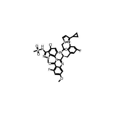 COc1cc(F)c2c(=O)n(-c3ccc(Cl)c4c(NS(C)(=O)=O)nn(C)c34)c([C@H](Cc3cc(F)cc(F)c3)NC(=O)Cn3ccc(C4CC4)n3)nc2c1